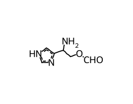 NC(COC=O)c1c[nH]cn1